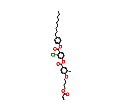 C=CC(=O)OCCCCOc1ccc(C(=O)Oc2ccc(C(=O)Oc3ccc(CCCCCCCCC)cc3)c(Cl)c2)cc1C